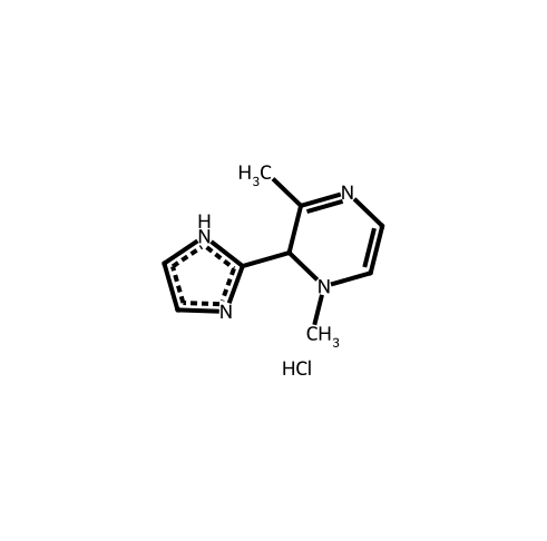 CC1=NC=CN(C)C1c1ncc[nH]1.Cl